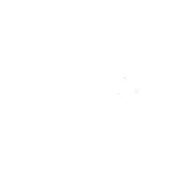 c1ccc(-c2nc(-c3ccc(-c4c5ccccc5cc5c4ccc4ccccc45)cc3)nc(-c3ccc4c(c3)oc3ccccc34)n2)cc1